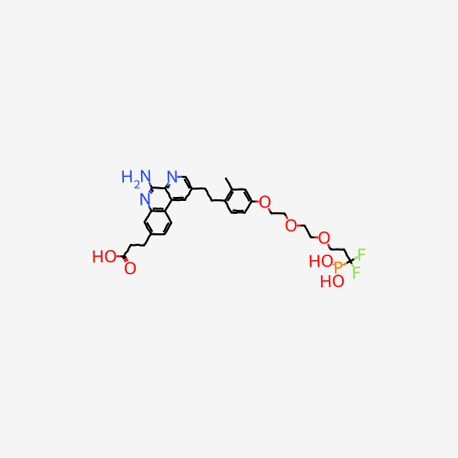 Cc1cc(OCCOCCOCCC(F)(F)P(O)O)ccc1CCc1cnc2c(N)nc3cc(CCC(=O)O)ccc3c2c1